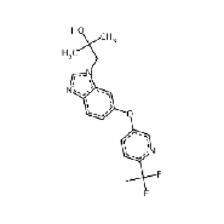 CC(C)(O)Cn1cnc2ccc(Oc3ccc(C(F)(F)F)nc3)cc21